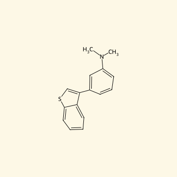 CN(C)c1cccc(-c2csc3ccccc23)c1